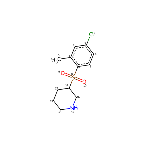 Cc1cc(Cl)ccc1S(=O)(=O)C1CCCNC1